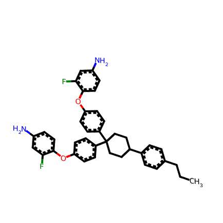 CCCc1ccc(C2CCC(c3ccc(Oc4ccc(N)cc4F)cc3)(c3ccc(Oc4ccc(N)cc4F)cc3)CC2)cc1